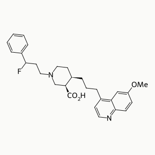 COc1ccc2nccc(CCC[C@@H]3CCN(CCC(F)c4ccccc4)C[C@@H]3C(=O)O)c2c1